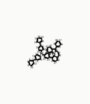 c1ccc(-c2ccc(N(c3ccc(-c4ccccc4)cc3)c3ccc(-c4cccc5ccc6c(-c7ccccc7)c7ccccc7n6c45)cc3)cc2)cc1